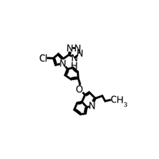 CCCc1cc(OCc2ccc(-n3cc(Cl)cc3-c3nnn[nH]3)cc2)c2ccccc2n1